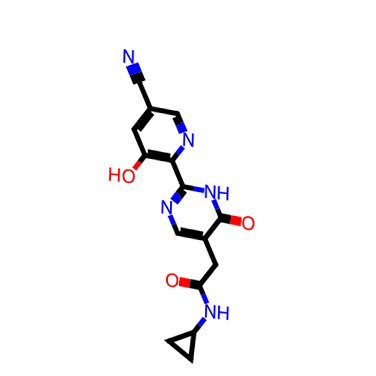 N#Cc1cnc(-c2ncc(CC(=O)NC3CC3)c(=O)[nH]2)c(O)c1